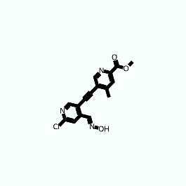 COC(=O)c1cc(C)c(C#Cc2cnc(Cl)cc2/C=N/O)cn1